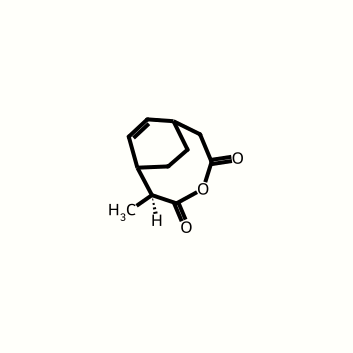 C[C@@H]1C(=O)OC(=O)CC2C=CC1CC2